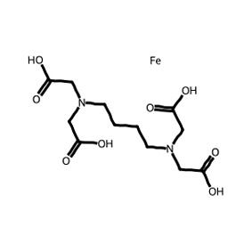 O=C(O)CN(CCCCN(CC(=O)O)CC(=O)O)CC(=O)O.[Fe]